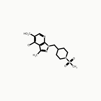 Cc1nn(CC2CCN(S(C)(=O)=O)CC2)c2ncc(C(=O)O)c(Cl)c12